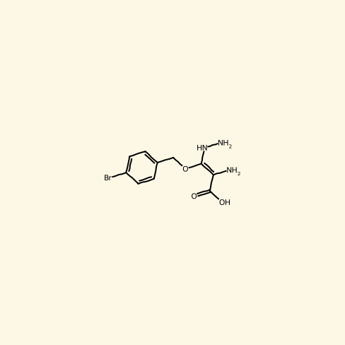 NN/C(OCc1ccc(Br)cc1)=C(\N)C(=O)O